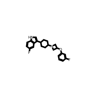 Fc1cccc(OC2CN(C3CCC(c4c[nH]c5ccc(F)cc45)CC3)C2)c1